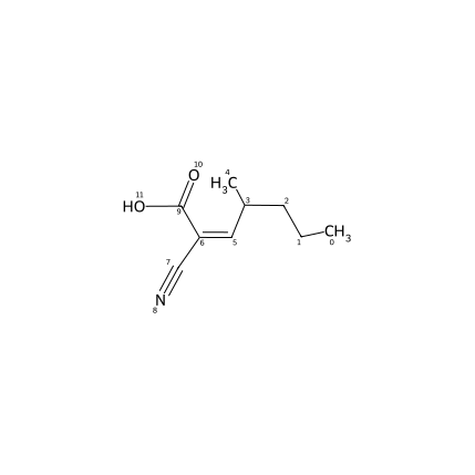 CCCC(C)C=C(C#N)C(=O)O